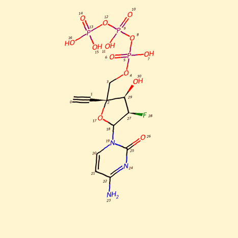 C#C[C@]1(COP(=O)(O)OP(=O)(O)OP(=O)(O)O)OC(n2ccc(N)nc2=O)[C@H](F)[C@@H]1O